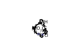 CN1C/C=N/N2CCCC/C2=C\c2c(Cl)ccc3c(c(C(=O)O)n(C)c23)CCCOc2cc(cc3c2NCCC3)CCc2cc(nn2C)C1